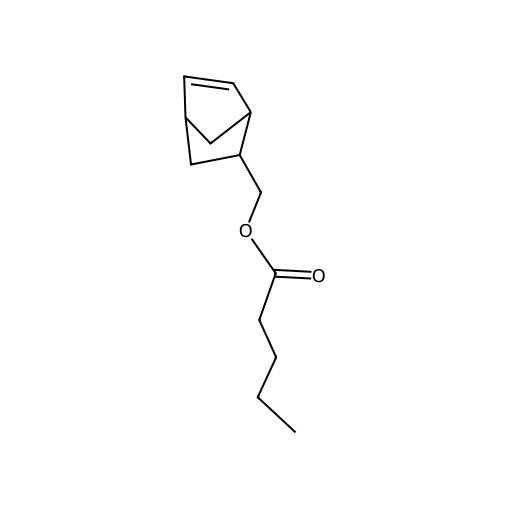 CCCCC(=O)OCC1CC2C=CC1C2